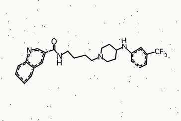 O=C(NCCCCN1CCC(Nc2cccc(C(F)(F)F)c2)CC1)c1cnc2ccccc2c1